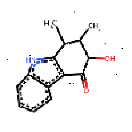 CC1c2[nH]c3ccccc3c2C(=O)C(O)C1C